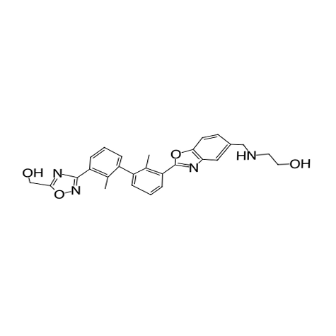 Cc1c(-c2noc(CO)n2)cccc1-c1cccc(-c2nc3cc(CNCCO)ccc3o2)c1C